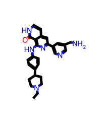 CCN1CCC(c2ccc(Nc3nc(-c4cncc(CN)c4)cc4cc[nH]c(=O)c34)cc2)CC1